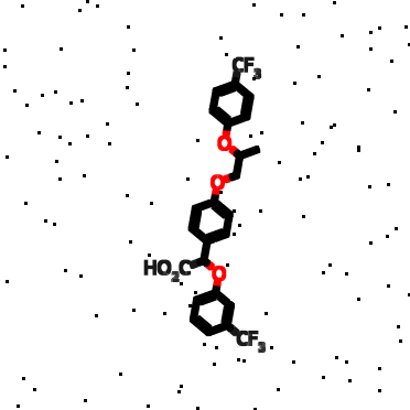 CC(COc1ccc(C(Oc2cccc(C(F)(F)F)c2)C(=O)O)cc1)Oc1ccc(C(F)(F)F)cc1